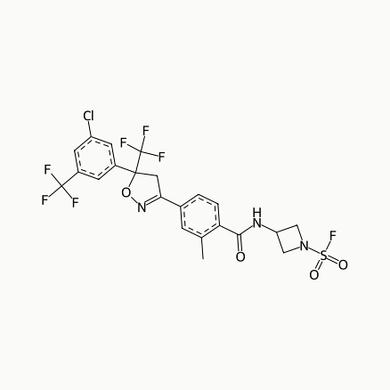 Cc1cc(C2=NOC(c3cc(Cl)cc(C(F)(F)F)c3)(C(F)(F)F)C2)ccc1C(=O)NC1CN(S(=O)(=O)F)C1